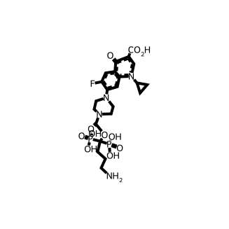 NCCCC(OC(=O)N1CCN(c2cc3c(cc2F)c(=O)c(C(=O)O)cn3C2CC2)CC1)(P(=O)(O)O)P(=O)(O)O